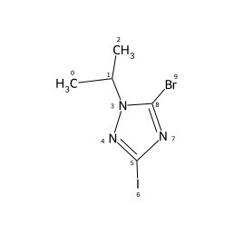 CC(C)n1nc(I)nc1Br